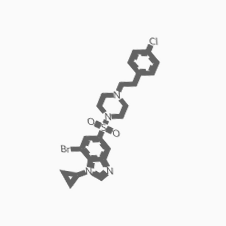 O=S(=O)(c1cc(Br)c2c(c1)ncn2C1CC1)N1CCN(CCc2ccc(Cl)cc2)CC1